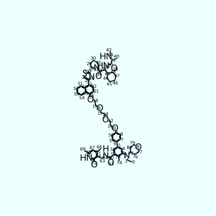 CCN(c1cc(-c2ccc(OCCOCCOCCOc3ccc(-c4csc([C@@H]5CCCN5C(=O)C(NC(=O)[C@H](C)NC)C5CCCCC5)n4)c4ccccc34)cc2)cc(C(=O)NCc2c(C)cc(C)[nH]c2=O)c1C)C1CCOCC1